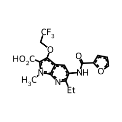 CCc1nc2c(cc1NC(=O)c1ccco1)c(OCC(F)(F)F)c(C(=O)O)n2C